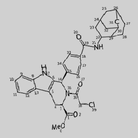 COC(=O)[C@H]1Cc2c([nH]c3ccccc23)[C@@H](c2ccc(C(=O)NC3CC4CC5CCC3C(C5)C4)cc2)N1C(=O)CCl